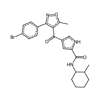 Cc1onc(-c2ccc(Br)cc2)c1C(=O)c1c[nH]c(C(=O)NC2CCCCC2C)c1